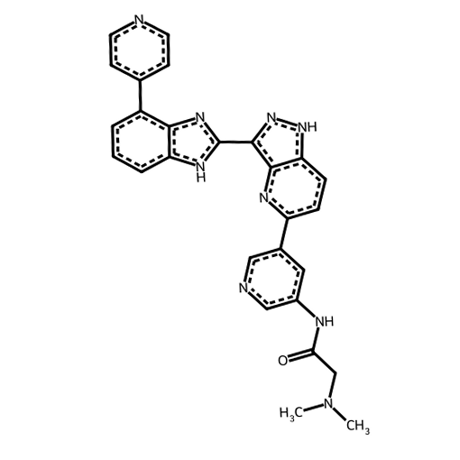 CN(C)CC(=O)Nc1cncc(-c2ccc3[nH]nc(-c4nc5c(-c6ccncc6)cccc5[nH]4)c3n2)c1